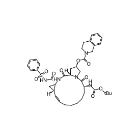 CC(C)(C)OC(=O)N[C@H]1CCCCC/C=C\[C@@H]2C[C@@]2(C(=O)NS(=O)(=O)c2ccccc2)NC(=O)[C@@H]2C[C@@H](OC(=O)N3CCc4ccccc4C3)CN2C1=O